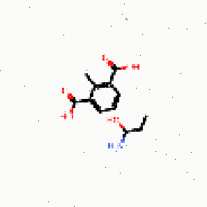 CCC(N)O.Cc1c(C(=O)O)cccc1C(=O)O